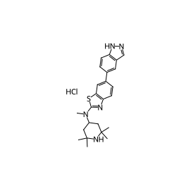 CN(c1nc2ccc(-c3ccc4[nH]ncc4c3)cc2s1)C1CC(C)(C)NC(C)(C)C1.Cl